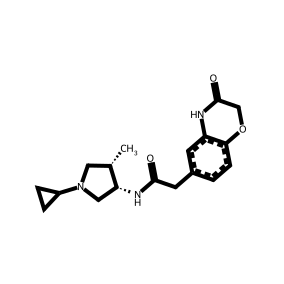 C[C@H]1CN(C2CC2)C[C@H]1NC(=O)Cc1ccc2c(c1)NC(=O)CO2